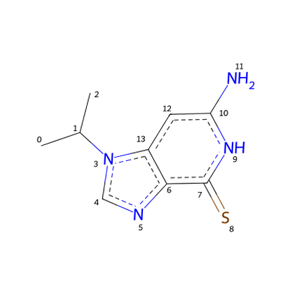 CC(C)n1cnc2c(=S)[nH]c(N)cc21